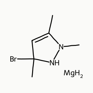 CC1=CC(C)(Br)NN1C.[MgH2]